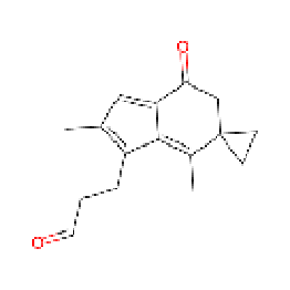 CC1=C(CCC=O)C2=C(C)C3(CC3)CC(=O)C2=C1